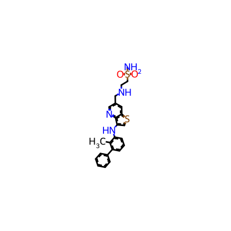 Cc1c(Nc2csc3cc(CNCCS(N)(=O)=O)cnc23)cccc1-c1ccccc1